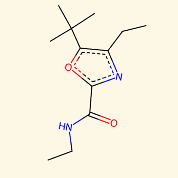 CCNC(=O)c1nc(CC)c(C(C)(C)C)o1